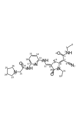 CCNC(=O)C(C#N)=c1sc(=CNc2cccc(NC(=O)CN3CCCC3)n2)c(=O)n1CC